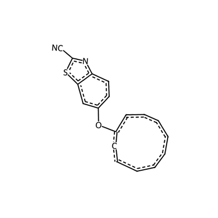 N#Cc1nc2ccc(Oc3ccccccccc3)cc2s1